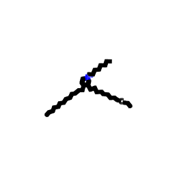 CCCCCCCCCCCCCc1cc[n+](CCCCCCCC)cc1CCCCCCCCCCCCC